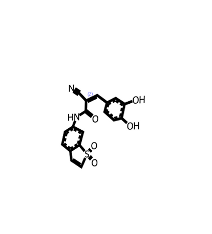 N#C/C(=C/c1ccc(O)c(O)c1)C(=O)Nc1ccc2c(c1)S(=O)(=O)C=C2